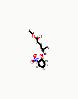 CCOC(=O)CCCC(C)=NOc1ccccc1[N+](=O)[O-]